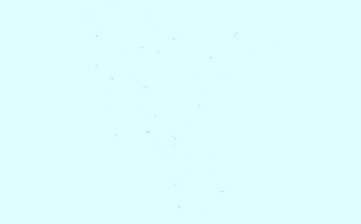 CN(c1nc(-c2ccc(F)cc2)c(C#N)s1)c1c(C2CC2)nn2cc(F)c(N3CCN(C(=O)C4(O)CCOCC4)CC3)cc12